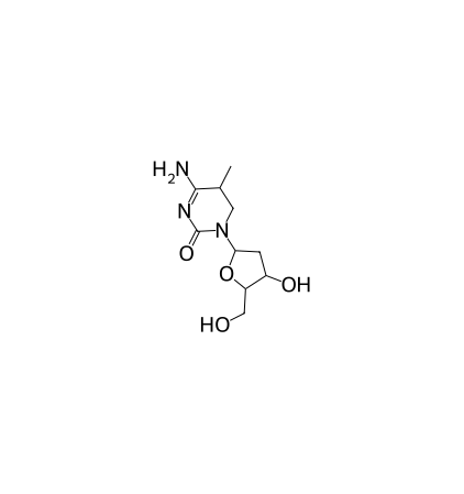 CC1CN(C2CC(O)C(CO)O2)C(=O)N=C1N